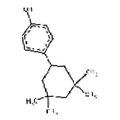 CC1(C)CC(c2ccc(O)cc2)CC(C)(C)C1